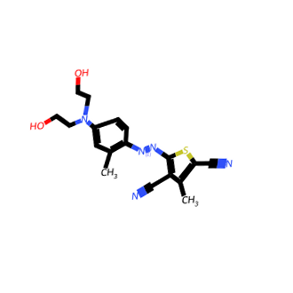 Cc1cc(N(CCO)CCO)ccc1/N=N/c1sc(C#N)c(C)c1C#N